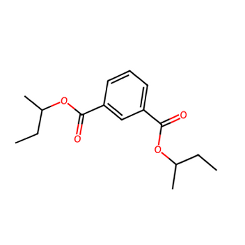 CCC(C)OC(=O)c1cccc(C(=O)OC(C)CC)c1